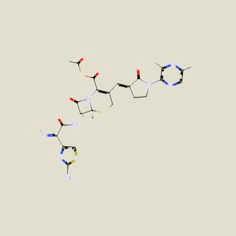 Cc1cnc(N2CCC(=CC3=C(C(=O)OC(=O)C(F)(F)F)N4C(=O)[C@@H](NC(=O)/C(=N\O)c5csc(N)n5)[C@H]4SC3)C2=O)c(C)n1